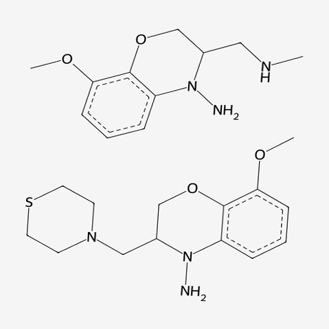 CNCC1COc2c(OC)cccc2N1N.COc1cccc2c1OCC(CN1CCSCC1)N2N